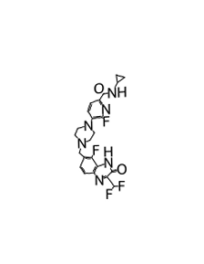 O=C(NC1CC1)c1ccc(N2CCN(Cc3ccc4nc(C(F)F)c(=O)[nH]c4c3F)CC2)c(F)n1